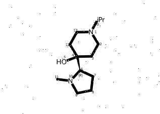 CC(C)N1CCC(O)([C@H]2CCCN2C)CC1